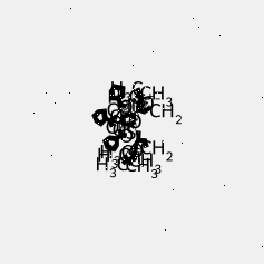 C=CCC(N[S@+]([O-])C(C)(C)C)[C@H]1O[C@H](SCC(C=C)CO[Si](C)(C)C(C)(C)C)[C@H](OC(=O)c2ccccc2)[C@@H](OC(=O)c2ccccc2)[C@H]1OC(=O)c1ccccc1